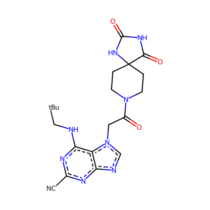 CC(C)(C)CNc1nc(C#N)nc2ncn(CC(=O)N3CCC4(CC3)NC(=O)NC4=O)c12